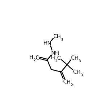 C=C(CC(=C)C(C)(C)C)NNC